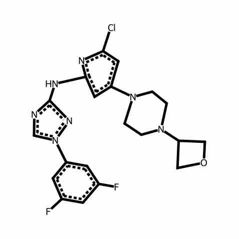 Fc1cc(F)cc(-n2cnc(Nc3cc(N4CCN(C5COC5)CC4)cc(Cl)n3)n2)c1